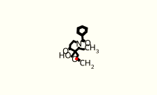 C=CCC1(C(=O)O)C(=O)CCN(C(=O)c2ccccc2)C1CC